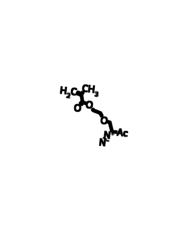 C=C(C)C(=O)OCCOCC(=[N+]=[N-])C(C)=O